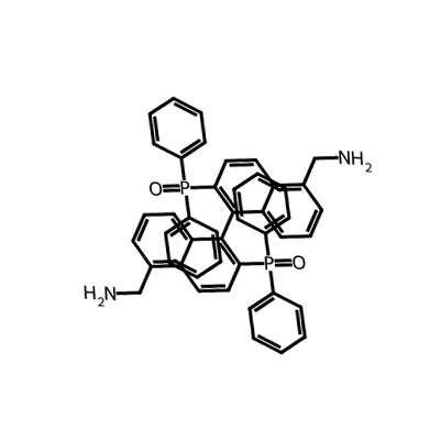 NCc1cccc2c(-c3c(P(=O)(c4ccccc4)c4ccccc4)ccc4c(CN)cccc34)c(P(=O)(c3ccccc3)c3ccccc3)ccc12